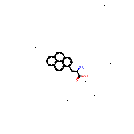 NC(Cc1ccc2ccc3cccc4ccc1c2c34)C(=O)O